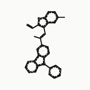 C=Cc1sc2ccc(C)cc2c1/C=C(\C)c1ccc2c(c1)c1ccccc1n2-c1ccccc1